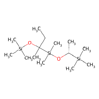 CCC(C)(O[Si](C)(C)C)[Si](C)(C)O[C@H](C)[Si](C)(C)C